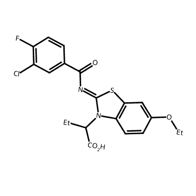 CCOc1ccc2c(c1)sc(=NC(=O)c1ccc(F)c(Cl)c1)n2C(CC)C(=O)O